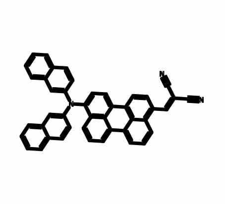 N#CC(C#N)=Cc1ccc2c3ccc(N(c4ccc5ccccc5c4)c4ccc5ccccc5c4)c4cccc(c5cccc1c52)c43